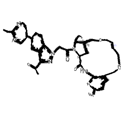 CC(=O)c1nn(CC(=O)N2C3C[C@@]34COC/C=C/COCc3ccc(Br)nc3NC(=O)[C@@H]2C4)c2ccc(-c3cnc(C)nc3)cc12